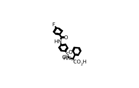 O=C(Nc1ccc(S(=O)(=O)N[C@H](C(=O)O)c2ccccc2)cc1)c1ccc(F)cc1